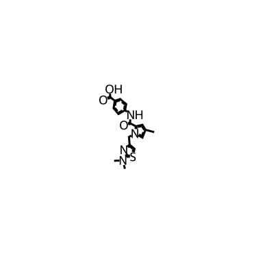 Cc1cc(C(=O)Nc2ccc(C(=O)O)cc2)n(Cc2csc(N(C)C)n2)c1